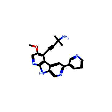 COc1cnc2[nH]c3cnc(-c4cccnc4)cc3c2c1C#CC(C)(C)N